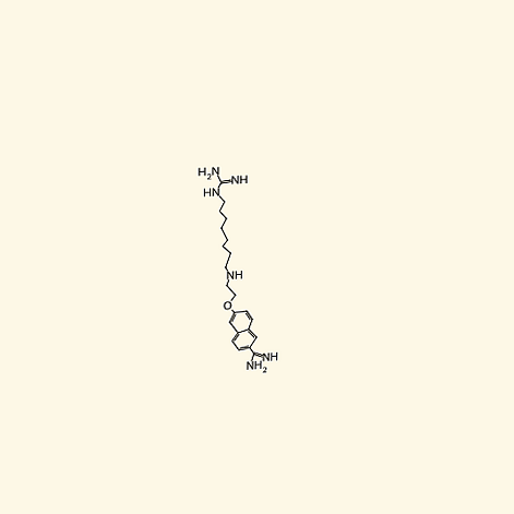 N=C(N)NCCCCCCCCNCCOc1ccc2cc(C(=N)N)ccc2c1